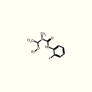 CCOC(N(C)C(=O)Nc1ccccc1F)C(Cl)(Cl)Cl